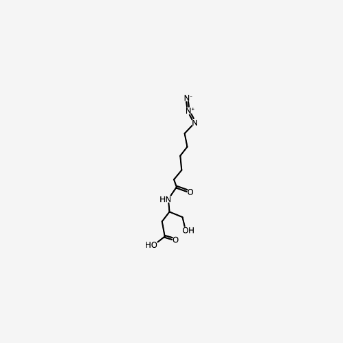 [N-]=[N+]=NCCCCCC(=O)NC(CO)CC(=O)O